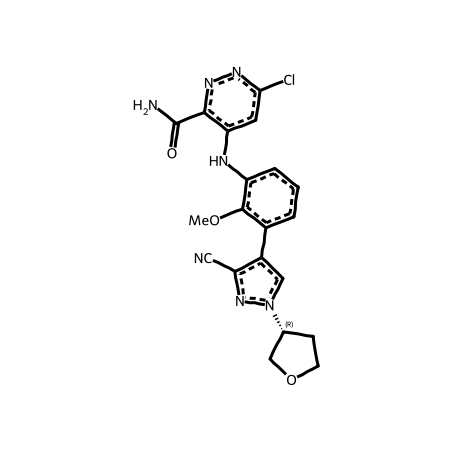 COc1c(Nc2cc(Cl)nnc2C(N)=O)cccc1-c1cn([C@@H]2CCOC2)nc1C#N